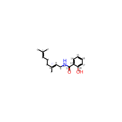 CC(C)=CCC/C(C)=C/CNC(=O)c1ccccc1O